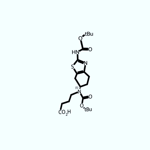 CC(C)(C)OC(=O)Nc1nc2c(s1)C[C@@H](N(CCCC(=O)O)C(=O)OC(C)(C)C)CC2